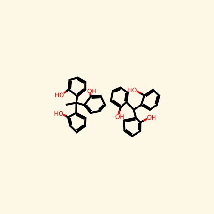 CC(c1ccccc1O)(c1ccccc1O)c1ccccc1O.Oc1ccccc1C(c1ccccc1O)c1ccccc1O